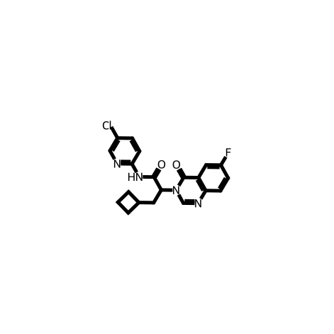 O=C(Nc1ccc(Cl)cn1)C(CC1CCC1)n1cnc2ccc(F)cc2c1=O